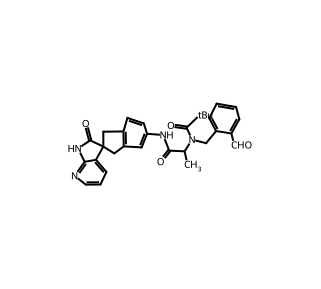 CC(C(=O)Nc1ccc2c(c1)CC1(C2)C(=O)Nc2ncccc21)N(Cc1ccccc1C=O)C(=O)C(C)(C)C